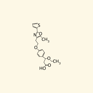 CCOC(CC(=O)O)c1ccc(OCCc2nc(-c3cccs3)oc2C)cc1